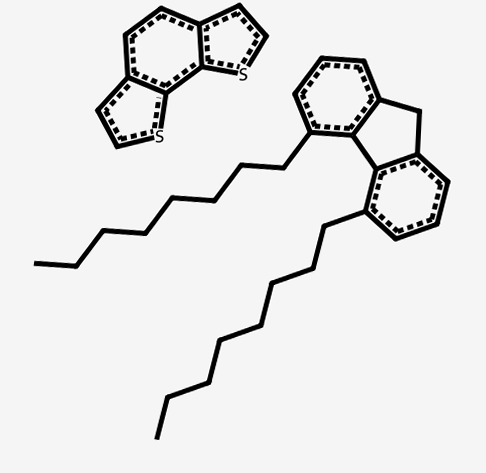 CCCCCCCCc1cccc2c1-c1c(CCCCCCCC)cccc1C2.c1cc2ccc3ccsc3c2s1